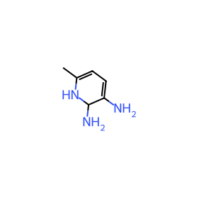 CC1=CC=C(N)C(N)N1